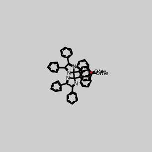 COc1ccc(C2(C3(c4ccc(OC)c5ccccc45)N=C(c4ccccc4)C(c4ccccc4)=N3)N=C(c3ccccc3)C(c3ccccc3)=N2)c2ccccc12